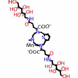 CN1CCN([C@@H](CCC(=O)NC[C@H](O)[C@@H](O)[C@H](O)[C@H](O)CO)C(=O)[O-])Cc2cccc(n2)CN([C@@H](CCC(=O)NC[C@H](O)[C@@H](O)[C@H](O)[C@H](O)CO)C(=O)[O-])CC1.[Mn+2]